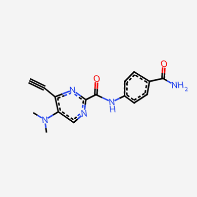 C#Cc1nc(C(=O)Nc2ccc(C(N)=O)cc2)ncc1N(C)C